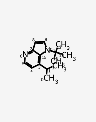 CC(C)c1ccnc2ccn(C(C)(C)C)c12